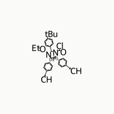 C#Cc1ccc([C@@H]2[C@H](c3ccc(C#C)cc3)N=C(c3ccc(C(C)(C)C)cc3OCC)N2C(=O)Cl)cc1